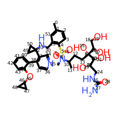 Cc1ccc(S(=O)(=O)N(C)C(C)CC[C@@](O)([C@H](O)CO)[C@H](O)[C@@H](O)CNC(N)=O)c(CNC2(c3cnccc3-c3ccccc3OC3CC3)CC2)c1